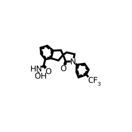 O=C(NO)c1cccc2c1CC1(CCN(c3ccc(C(F)(F)F)cc3)C1=O)C2